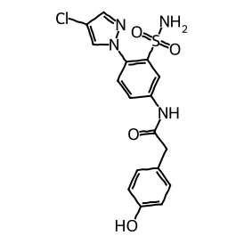 NS(=O)(=O)c1cc(NC(=O)Cc2ccc(O)cc2)ccc1-n1cc(Cl)cn1